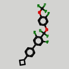 Fc1cc(OC(F)(F)c2c(F)cc(-c3ccc(C4CCC4)cc3)cc2F)ccc1OC(F)(F)F